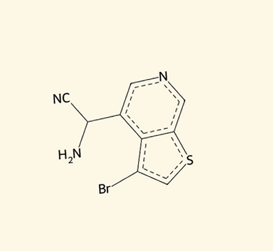 N#CC(N)c1cncc2scc(Br)c12